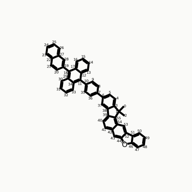 CC1(C)c2ccc(-c3ccc(-c4c5ccccc5c(-c5ccc6ccccc6c5)c5ccccc45)cc3)cc2-c2ccc3cc4oc5ccccc5c4cc3c21